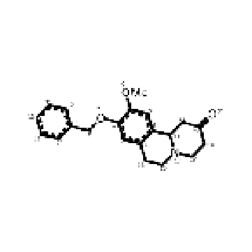 COc1cc2c(cc1OCc1ccccc1)CCN1CCC(=O)CC21